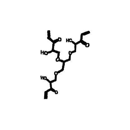 C=CC(=O)C(O)COCC(COCC(O)C(=O)C=C)OCC(O)C(=O)C=C